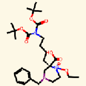 CCO[N+]1([O-])CCP(Cc2ccccc2)C[C@]1(CCCCN(C(=O)OC(C)(C)C)C(=O)OC(C)(C)C)C(=O)O